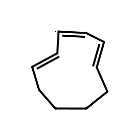 [C]1=C\C=C\CCCC/C=C/1